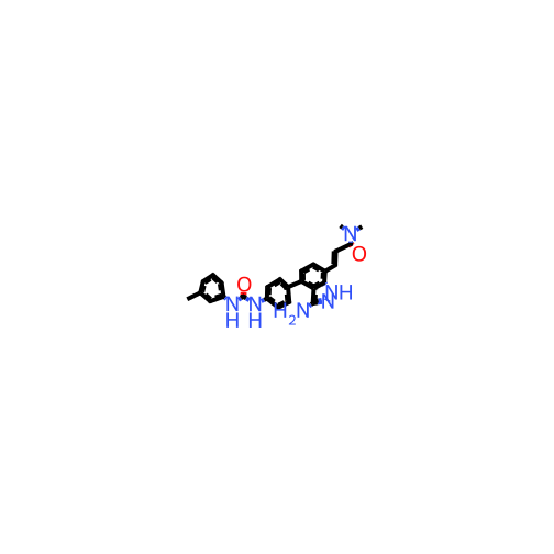 Cc1cccc(NC(=O)Nc2ccc(-c3ccc(C=CC(=O)N(C)C)c4[nH]nc(N)c34)cc2)c1